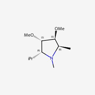 CO[C@@H]1[C@@H](OC)[C@@H](C(C)C)N(C)[C@@H]1C